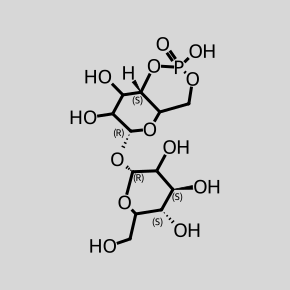 O=P1(O)OCC2O[C@H](O[C@H]3OC(CO)[C@@H](O)[C@H](O)C3O)C(O)C(O)[C@@H]2O1